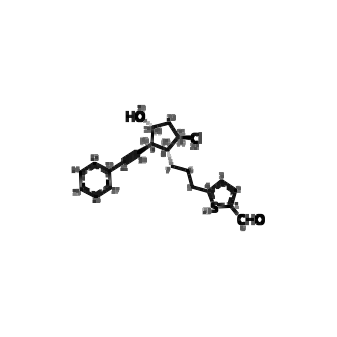 O=Cc1ccc(CCC[C@@H]2[C@@H](C#Cc3ccccc3)[C@H](O)C[C@H]2Cl)s1